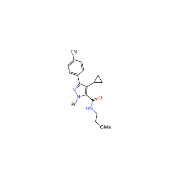 COCCNC(=O)c1c(C2CC2)c(-c2ccc(C#N)cc2)nn1C(C)C